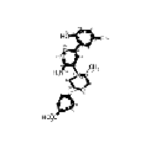 C[C@@H]1CO[C@H](c2ccc(C(=O)O)cc2)CN1c1cc(-c2cc(F)ccc2O)nnc1N